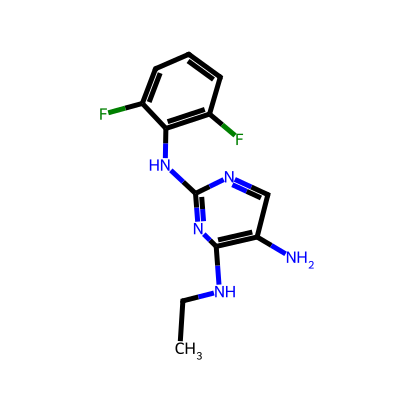 CCNc1nc(Nc2c(F)cccc2F)ncc1N